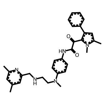 Cc1cc(C)nc(CNCCN(C)c2ccc(NC(=O)C(=O)c3c(-c4ccccc4)cc(C)n3C)cc2)c1